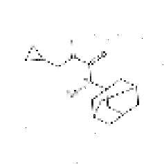 CN(CC1CC1)C(=O)[C@@H](N)C12CC3CC(CC(C3)C1)C2